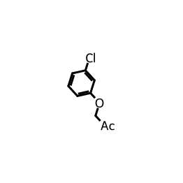 CC(=O)COc1cccc(Cl)c1